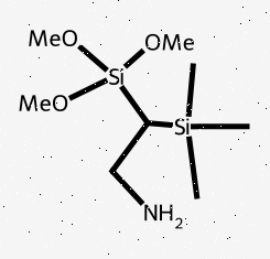 CO[Si](OC)(OC)C(CN)[Si](C)(C)C